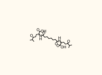 CC(C)C(=O)CC[C@H](NC(=O)CCCCCCC(=O)N[C@@H](CCC(=O)C(C)C)C(=O)O)C(=O)O